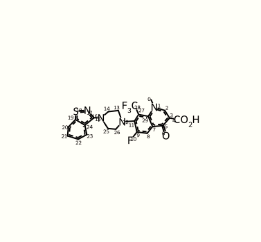 Cn1cc(C(=O)O)c(=O)c2cc(F)c(N3CCN(c4nsc5ccccc45)CC3)c(C(F)(F)F)c21